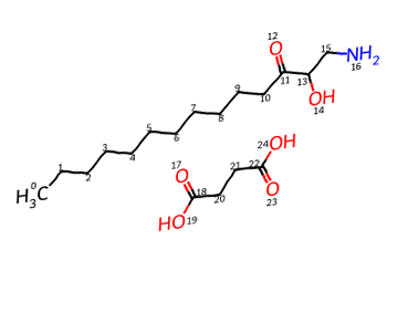 CCCCCCCCCCCC(=O)C(O)CN.O=C(O)CCC(=O)O